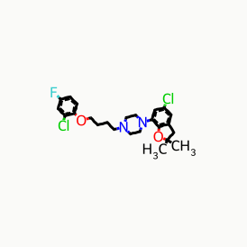 CC1(C)Cc2cc(Cl)cc(N3CCN(CCCCOc4ccc(F)cc4Cl)CC3)c2O1